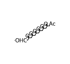 CC(=O)CC(=O)CC(=O)CC(=O)CC(=O)CC(=O)CC(=O)C[C]=O